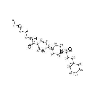 CCOCCCNC(=O)c1ccc(N2CCN(C(=O)CCC3CCCCC3)CC2)nc1